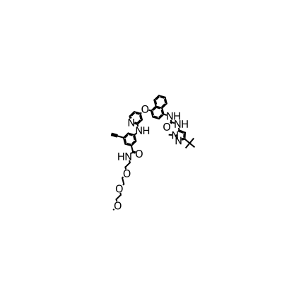 C#Cc1cc(Nc2cc(Oc3ccc(NC(=O)Nc4cc(C(C)(C)C)nn4C)c4ccccc34)ccn2)cc(C(=O)NCCOCCOCCOC)c1